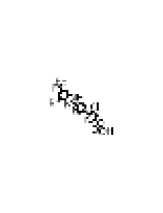 O=C(O)Oc1cnc(-c2ccc(-c3nc4c(Br)cc(C(F)(F)F)cc4[nH]3)nc2)c(Cl)c1